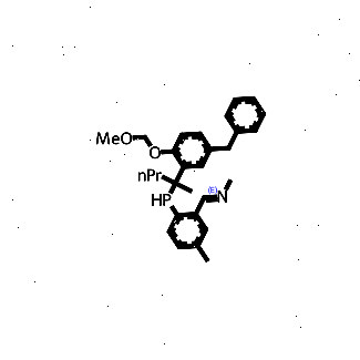 CCCC(C)(Pc1ccc(C)cc1/C=N/C)c1cc(Cc2ccccc2)ccc1OCOC